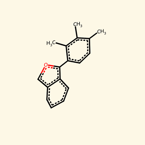 Cc1ccc(-c2occ3ccccc23)c(C)c1C